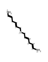 NC=CCC=CCOCC=CCC=CN